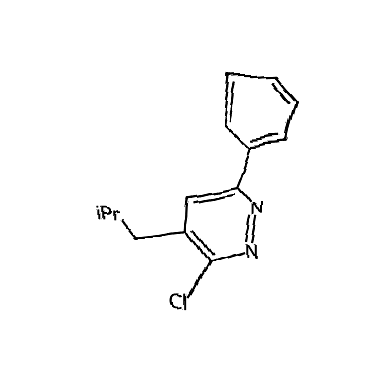 CC(C)Cc1cc(-c2ccccc2)nnc1Cl